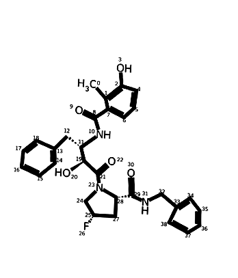 Cc1c(O)cccc1C(=O)N[C@@H](Cc1ccccc1)[C@H](O)C(=O)N1C[C@@H](F)C[C@H]1C(=O)NCc1ccccc1